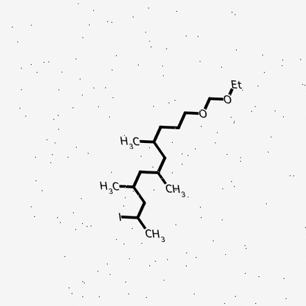 CCOCOCCCC(C)CC(C)CC(C)CC(C)I